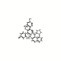 OCc1c(-c2ccc(F)cc2)nc(OC2CCCC2)c(C(Cl)c2ccc3ccccc3c2)c1-c1ccc(F)cc1